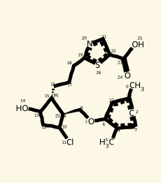 Cc1ccc(C)c(OC[C@H]2C(Cl)CC(O)[C@@H]2CCCc2ncc(C(=O)O)s2)c1